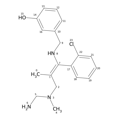 C/C(CN(C)CN)=C(\NCc1cccc(O)c1)c1ccccc1Cl